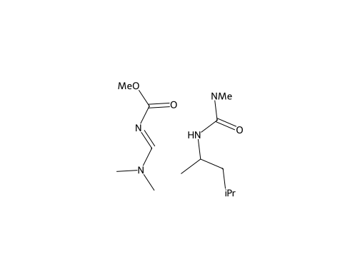 CNC(=O)NC(C)CC(C)C.COC(=O)N=CN(C)C